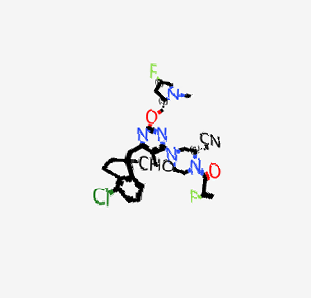 C=C(F)C(=O)N1CCN(c2nc(OC[C@@H]3C[C@@H](F)CN3C)nc(CC3(C=O)CCc4c(Cl)cccc43)c2C)C[C@@H]1CC#N